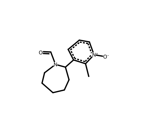 Cc1c(C2CCCCCN2C=O)ccc[n+]1[O-]